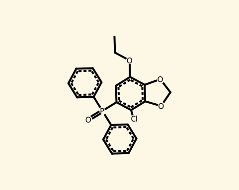 CCOc1cc(P(=O)(c2ccccc2)c2ccccc2)c(Cl)c2c1OCO2